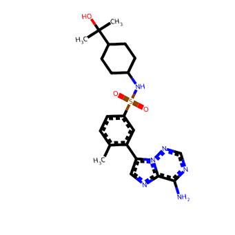 Cc1ccc(S(=O)(=O)NC2CCC(C(C)(C)O)CC2)cc1-c1cnc2c(N)ncnn12